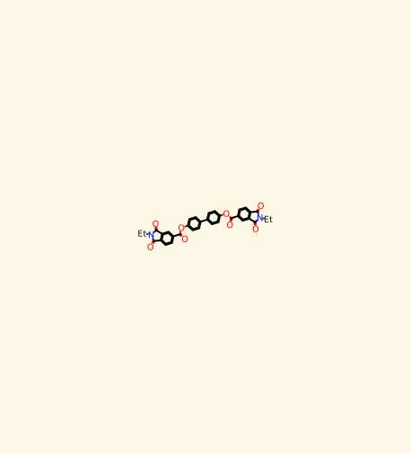 CCN1C(=O)c2ccc(C(=O)Oc3ccc(-c4ccc(OC(=O)c5ccc6c(c5)C(=O)N(CC)C6=O)cc4)cc3)cc2C1=O